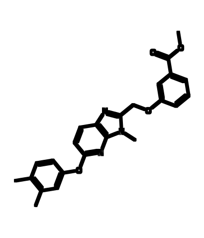 COC(=O)c1cccc(OCc2nc3ccc(Oc4ccc(C)c(C)c4)nc3n2C)c1